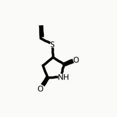 C=CSC1CC(=O)NC1=O